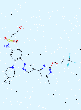 Cc1cc(-c2cnn(-c3ccc(NS(=O)(=O)CCO)cc3N3CCC4(CC3)CC4)c2)nc(OCCC(F)(F)F)n1